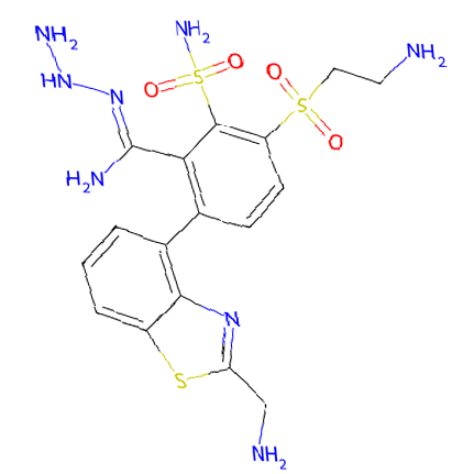 NCCS(=O)(=O)c1ccc(-c2cccc3sc(CN)nc23)c(/C(N)=N/NN)c1S(N)(=O)=O